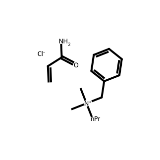 C=CC(N)=O.CCC[N+](C)(C)Cc1ccccc1.[Cl-]